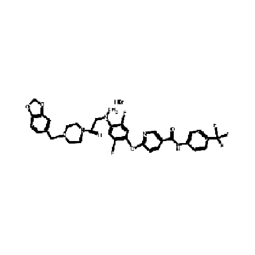 Br.CN(CC(=O)N1CCN(Cc2ccc3c(c2)OCO3)CC1)c1cc(F)c(Oc2ccc(C(=O)Nc3ccc(C(F)(F)F)cc3)cn2)cc1F